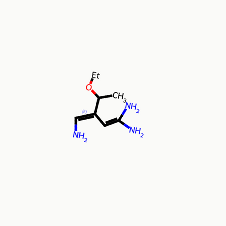 CCOC(C)/C(C=C(N)N)=C/N